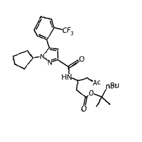 CCCCC(C)(C)OC(=O)CC(CC(C)=O)NC(=O)c1cc(-c2ccccc2C(F)(F)F)n(C2CCCC2)n1